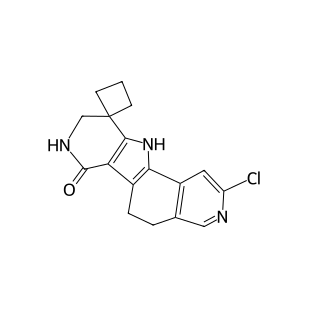 O=C1NCC2(CCC2)c2[nH]c3c(c21)CCc1cnc(Cl)cc1-3